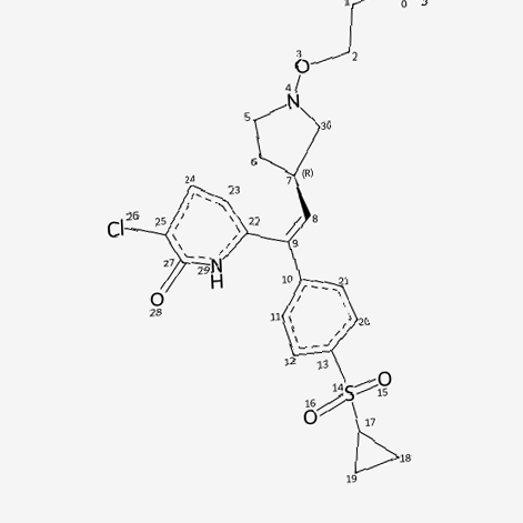 CCCON1CC[C@H](C=C(c2ccc(S(=O)(=O)C3CC3)cc2)c2ccc(Cl)c(=O)[nH]2)C1